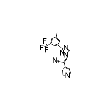 Cc1cc(-c2ncn(C=C(C#N)c3ccncc3)n2)cc(C(F)(F)F)c1